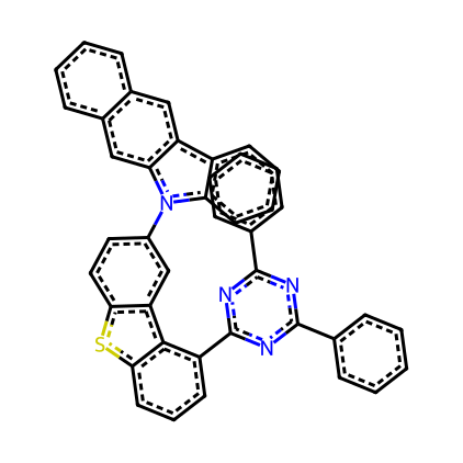 c1ccc(-c2nc(-c3ccccc3)nc(-c3cccc4sc5ccc(-n6c7ccccc7c7cc8ccccc8cc76)cc5c34)n2)cc1